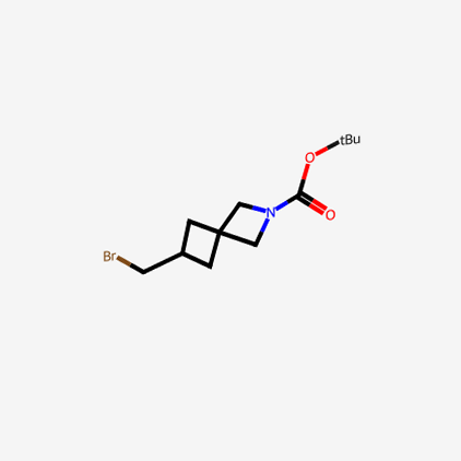 CC(C)(C)OC(=O)N1CC2(CC(CBr)C2)C1